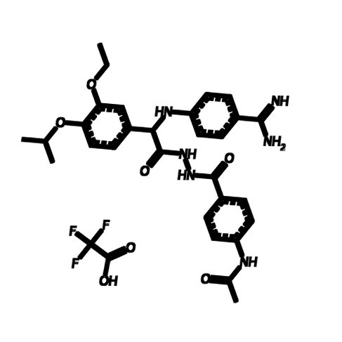 CCOc1cc(C(Nc2ccc(C(=N)N)cc2)C(=O)NNC(=O)c2ccc(NC(C)=O)cc2)ccc1OC(C)C.O=C(O)C(F)(F)F